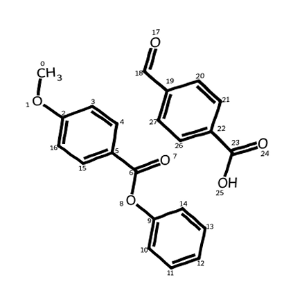 COc1ccc(C(=O)Oc2ccccc2)cc1.O=Cc1ccc(C(=O)O)cc1